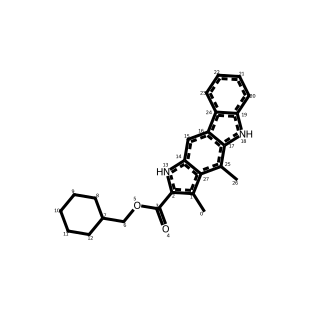 Cc1c(C(=O)OCC2CCCCC2)[nH]c2cc3c([nH]c4ccccc43)c(C)c12